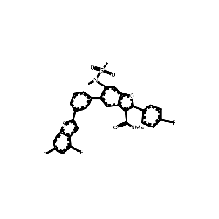 CNC(=O)c1c(-c2ccc(F)cc2)oc2cc(N(C)S(C)(=O)=O)c(-c3cccc(-c4cc5c(F)cc(F)cc5s4)c3)cc12